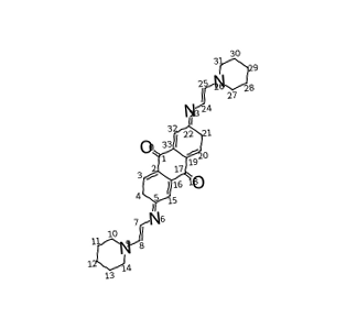 O=C1C2=CCC(=NC=CN3CCCCC3)C=C2C(=O)C2=CCC(=NC=CN3CCCCC3)C=C12